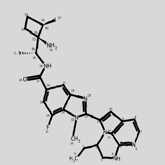 CCC1CNc2nccc3cc(-c4nc5cc(C(=O)N[C@H](I)[C@]6(N)CC[C@H]6I)cc(F)c5n4C)n1c23